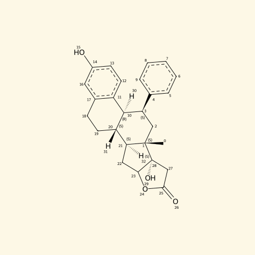 C[C@]12C[C@H](c3ccccc3)[C@@H]3c4ccc(O)cc4CC[C@H]3[C@@H]1CC1OC(=O)C[C@@]12O